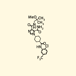 COC(C)(C)CNC(=O)c1ncn([C@H]2CC[C@H](C(=O)Nc3cc(C(F)(F)F)ccc3Cl)CC2)c1C(N)=O